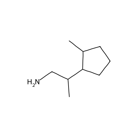 CC(CN)C1CCCC1C